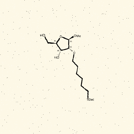 CCCCCCCCCCCCCCCCO[C@H]1[C@H](OC)O[C@H](CO)[C@H]1O